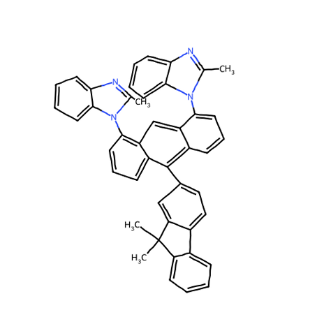 Cc1nc2ccccc2n1-c1cccc2c(-c3ccc4c(c3)C(C)(C)c3ccccc3-4)c3cccc(-n4c(C)nc5ccccc54)c3cc12